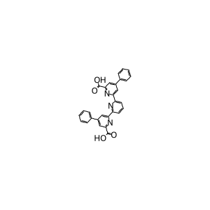 O=C(O)c1cc(-c2ccccc2)cc(-c2cccc(-c3cc(-c4ccccc4)cc(C(=O)O)n3)n2)n1